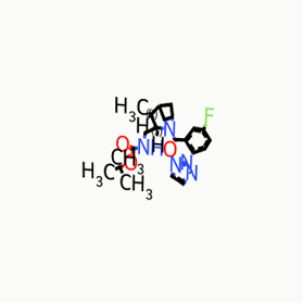 C[C@@H]1C2CC(C2)N(C(=O)c2cc(F)ccc2-n2nccn2)[C@@H]1CNC(=O)OC(C)(C)C